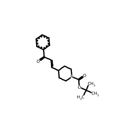 CC(C)(C)OC(=O)N1CCC(C=CC(=O)c2ccccc2)CC1